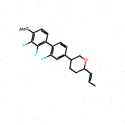 C/C=C/C1CCC(c2ccc(-c3ccc(OC)c(F)c3F)c(F)c2)CO1